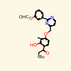 Cc1c(OCc2ccnc(-c3cccc(OC=O)c3)n2)ccc(C(=O)CC(C)(C)C)c1O